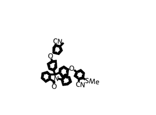 CSc1ccc(Oc2ccc(C3(c4ccc(Oc5ccc(C)c(C#N)c5)cc4)c4ccccc4C(=O)N3c3ccccc3)cc2)cc1C#N